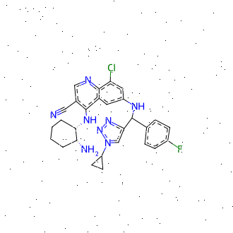 N#Cc1cnc2c(Cl)cc(NC(c3ccc(F)cc3)c3cn(C4CC4)nn3)cc2c1N[C@H]1CCCC[C@H]1N